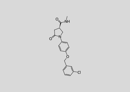 CNC(=O)[C@@H]1CC(=O)N(c2ccc(OCc3cccc(Cl)c3)cc2)C1